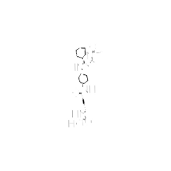 CCC(=O)N1c2ccccc2[C@H](Nc2ccc(NC(=O)C#CCNC(=O)O)cc2)C[C@@H]1C